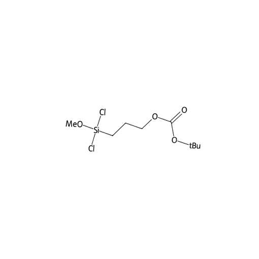 CO[Si](Cl)(Cl)CCCOC(=O)OC(C)(C)C